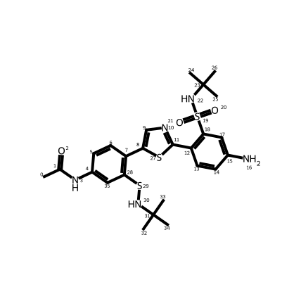 CC(=O)Nc1ccc(-c2cnc(-c3ccc(N)cc3S(=O)(=O)NC(C)(C)C)s2)c(SNC(C)(C)C)c1